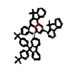 CC(C)(C)c1ccc(C2(c3ccc(C(C)(C)C)cc3)c3ccccc3-c3ccc(N(c4cccc(-c5cccc6c5C(C)(C)c5ccccc5-6)c4)c4ccccc4-c4ccc5c(c4)C(C)(C)c4ccccc4-5)cc32)cc1